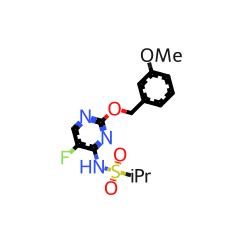 COc1cccc(COc2ncc(F)c(NS(=O)(=O)C(C)C)n2)c1